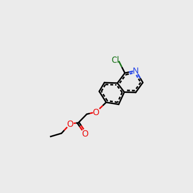 CCOC(=O)COc1ccc2c(Cl)nccc2c1